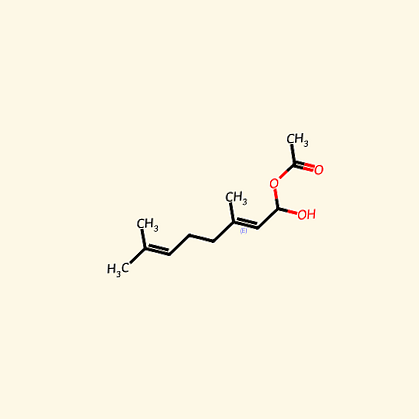 CC(=O)OC(O)/C=C(\C)CCC=C(C)C